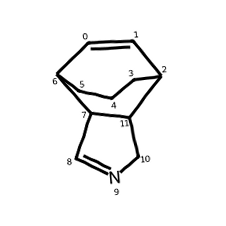 C1=CC2CCCC1C1C=NCC21